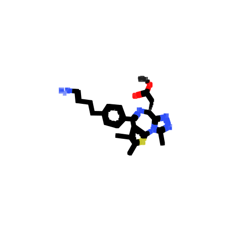 Cc1sc2c(c1C)C(c1ccc(CCC=CN)cc1)=N[C@H](CC(=O)OC(C)(C)C)c1nnc(C)n1-2